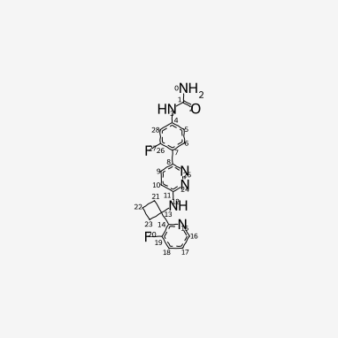 NC(=O)Nc1ccc(-c2ccc(NC3(c4ncccc4F)CCC3)nn2)c(F)c1